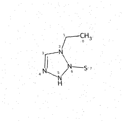 CCN1C=NNN1[S]